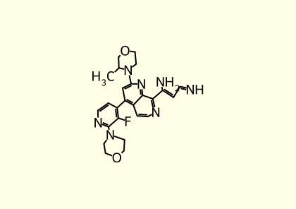 CC1COCCN1c1cc(-c2ccnc(N3CCOCC3)c2F)c2ccnc(/C(N)=C/C=N)c2n1